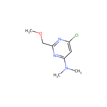 COCc1nc(Cl)cc(N(C)C)n1